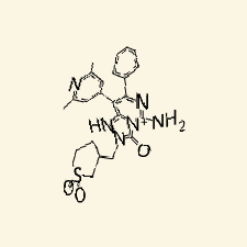 Cc1cc(-c2c(-c3ccccc3)nc(N)[n+]3c(=O)n(CC4CCCS(=O)(=O)C4)[nH]c23)cc(C)n1